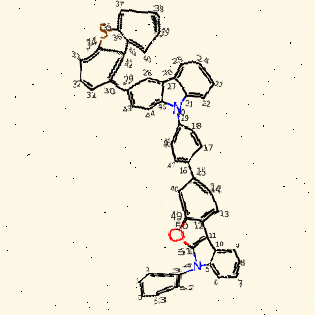 c1ccc(-n2c3ccccc3c3c4ccc(-c5ccc(-n6c7ccccc7c7cc(-c8cccc9sc%10ccccc%10c89)ccc76)cc5)cc4oc32)cc1